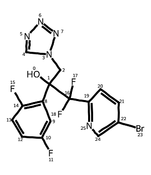 OC(Cn1cnnn1)(c1cc(F)ccc1F)C(F)(F)c1ccc(Br)cn1